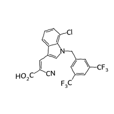 N#C/C(=C\c1cn(Cc2cc(C(F)(F)F)cc(C(F)(F)F)c2)c2c(Cl)cccc12)C(=O)O